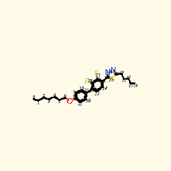 CCCCCCCOc1ccc(-c2ccc(-c3nnc(CCCCC)s3)c(F)c2F)cc1